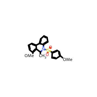 COc1ccc(S(=O)(=O)N2c3ccccc3-c3cccc(OC)c3C2C)cc1